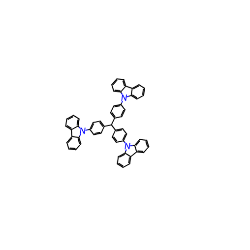 c1ccc2c(c1)c1ccccc1n2-c1ccc(C(c2ccc(-n3c4ccccc4c4ccccc43)cc2)c2ccc(-n3c4ccccc4c4ccccc43)cc2)cc1